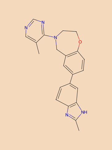 Cc1nc2ccc(-c3ccc4c(c3)CN(c3ncncc3C)CCO4)cc2[nH]1